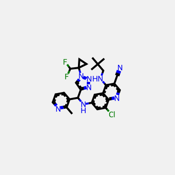 Cc1ncccc1C(Nc1cc(Cl)c2ncc(C#N)c(NCC(C)(C)C)c2c1)c1cn(C2(C(F)F)CC2)nn1